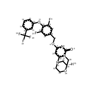 O=c1nc(OCc2cc(F)c(Oc3cccc(C(F)(F)F)c3)c(F)c2)cc2n1C[C@@H]1CN2CCO1